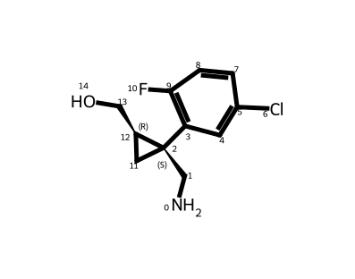 NC[C@@]1(c2cc(Cl)ccc2F)C[C@H]1CO